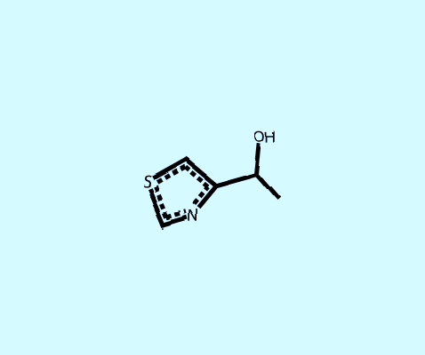 CC(O)c1cs[c]n1